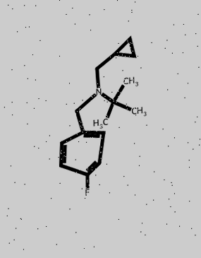 CC(C)(C)N(Cc1ccc(F)cc1)CC1CC1